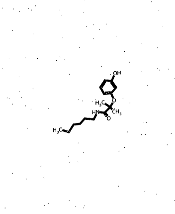 CCCCCCNC(=O)C(C)(C)Oc1cccc(O)c1